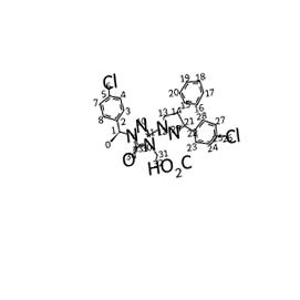 C[C@@H](c1ccc(Cl)cc1)n1nc(N2C[C@H](c3ccccc3)C(c3ccc(Cl)cc3)=N2)n(CC(=O)O)c1=O